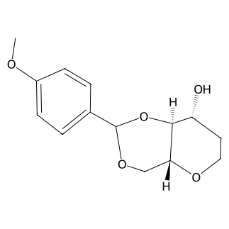 COc1ccc(C2OC[C@H]3OCC[C@@H](O)[C@@H]3O2)cc1